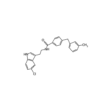 Cc1cccc(Cc2ccc(C(=O)NCCc3c[nH]c4ccc(Cl)cc34)cc2)c1